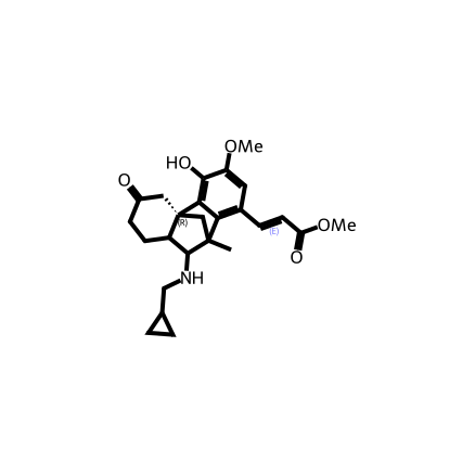 COC(=O)/C=C/c1cc(OC)c(O)c2c1C1(C)C[C@]23CC(=O)CCC3C1NCC1CC1